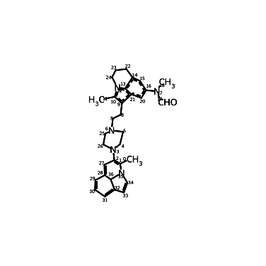 CC1=C(N2CCN(CCc3c(C)n4c5c(cc(N(C)C=O)cc35)CCC4)CC2)C=C2C=CC=C3C=CN1C32